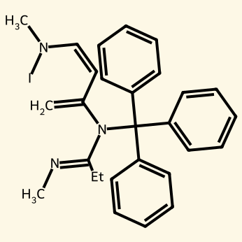 C=C(/C=C\N(C)I)N(/C(CC)=N/C)C(c1ccccc1)(c1ccccc1)c1ccccc1